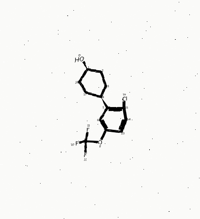 O[C@H]1CC[C@@H](c2cc(OC(F)(F)F)ccc2Cl)CC1